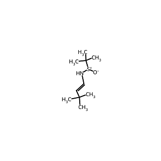 CC(C)(C)C=CN[S+]([O-])C(C)(C)C